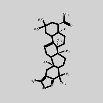 CC1(C)CC2C3=CCC4[C@@]5(C)Cc6c(n[nH]c6N)C(C)(C)C5CC[C@@]4(C)[C@]3(C)CC[C@@H]2[C@H](C(N)=O)C1